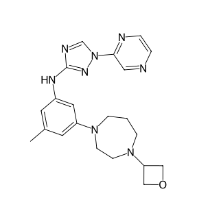 Cc1cc(Nc2ncn(-c3cnccn3)n2)cc(N2CCCN(C3COC3)CC2)c1